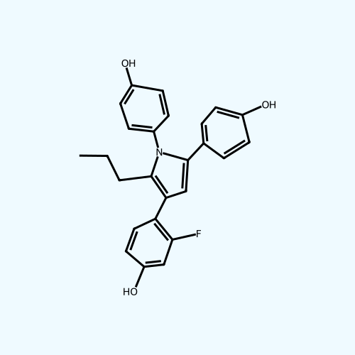 CCCc1c(-c2ccc(O)cc2F)cc(-c2ccc(O)cc2)n1-c1ccc(O)cc1